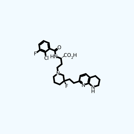 O=C(N[C@@H](CCN1CCC[C@@](F)(CCc2ccc3c(n2)NCCC3)C1)C(=O)O)c1cccc(F)c1Cl